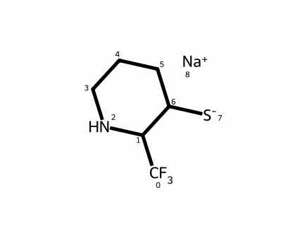 FC(F)(F)C1NCCCC1[S-].[Na+]